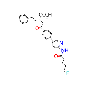 O=C(CCCCF)Nc1ccc(-c2ccc(C(=O)CC(CCc3ccccc3)C(=O)O)cc2)cn1